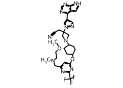 COCCN(C)Cc1cc(OC2CCC(N3CC(CC#N)(n4cc(-c5ncnc6[nH]ccc56)cn4)C3)CC2)nc(C(F)(F)F)n1